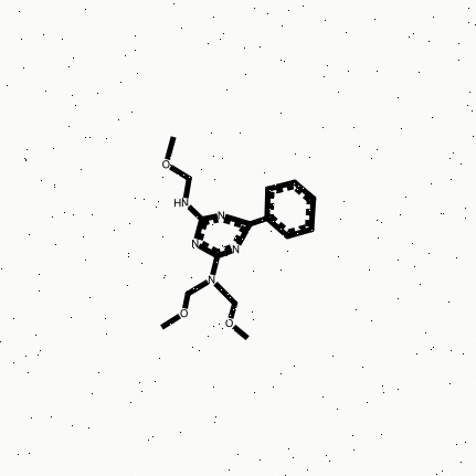 COCNc1nc(-c2ccccc2)nc(N(COC)COC)n1